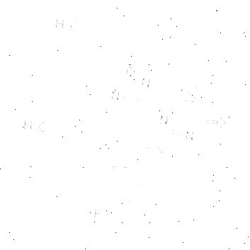 CCCC=CN1C(Cn2c(SCc3ccc(F)cc3)nc(=O)c3c2CCC3)=NOC1CCCC